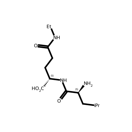 CCNC(=O)CC[C@H](NC(=O)[C@@H](N)CC(C)C)C(=O)O